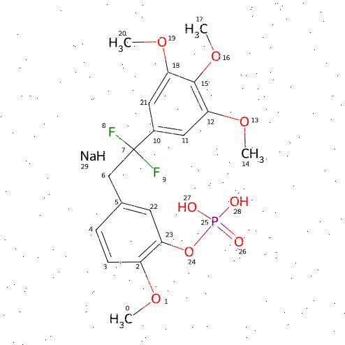 COc1ccc(CC(F)(F)c2cc(OC)c(OC)c(OC)c2)cc1OP(=O)(O)O.[NaH]